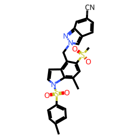 Cc1ccc(S(=O)(=O)n2ccc3c(Cn4cc5ccc(C#N)cc5n4)c(S(C)(=O)=O)cc(C)c32)cc1